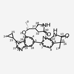 C[C@@H](Oc1cc(-c2ccc3c(n2)NC(=O)C3(C)C)cc2ncn(C3CC3)c12)[C@H]1CNC(=O)C1